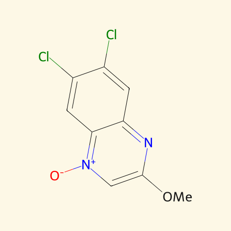 COc1c[n+]([O-])c2cc(Cl)c(Cl)cc2n1